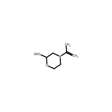 C=C(C)N1CCOC(C=O)C1